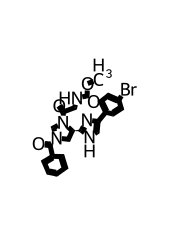 COC(=O)NCC(=O)N1CN(C(=O)c2ccccc2)C[C@H]1c1nc(-c2ccc(Br)cc2)c[nH]1